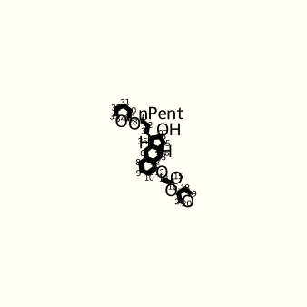 CCCCC[C@@H](CC[C@@H]1[C@H]2Cc3cccc(OCC(=O)OC4CCOC4)c3C[C@H]2C[C@H]1O)OC1CCCCO1